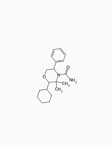 CC1(C)C(C2CCCCC2)OCC(c2ccccc2)N1C(N)=O